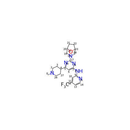 CN1CCC(c2cc(Nc3cc(C(F)(F)F)ccn3)nc(N3CC4CCC(C3)O4)n2)CC1